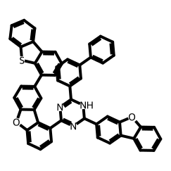 c1ccc(-c2cccc(C3=NC(c4cccc5oc6ccc(-c7cccc8c7sc7ccccc78)cc6c45)=NC(c4ccc5c(c4)oc4ccccc45)N3)c2)cc1